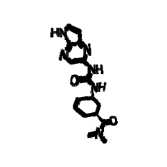 CN(C)C(=O)[C@H]1CCC[C@H](NC(=O)Nc2cnc3[nH]ccc3n2)C1